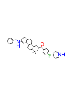 C1=CC=CNC=C1.CC1(C)CC(C(=O)c2ccc(F)cc2)C=c2c1ccc1c2=CCc2ccc(NCc3ccccc3)cc2-1